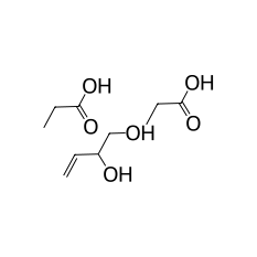 C=CC(O)CO.CCC(=O)O.CCC(=O)O